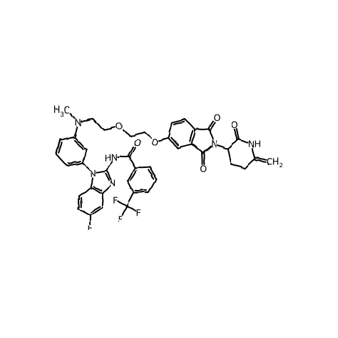 C=C1CCC(N2C(=O)c3ccc(OCCOCCN(C)c4cccc(-n5c(NC(=O)c6cccc(C(F)(F)F)c6)nc6cc(F)ccc65)c4)cc3C2=O)C(=O)N1